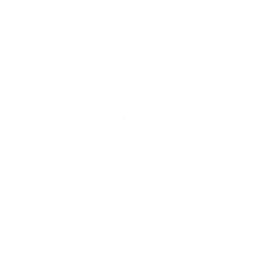 CCCOC(C(=O)OCc1ccccc1)c1ccccc1